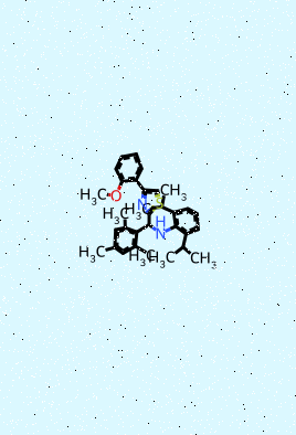 COc1ccccc1-c1csc(C(Nc2c(C(C)C)cccc2C(C)C)c2c(C)cc(C)cc2C)n1